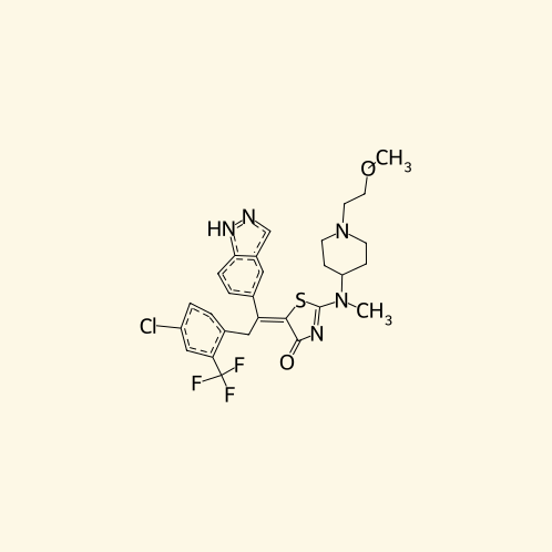 COCCN1CCC(N(C)C2=NC(=O)C(=C(Cc3ccc(Cl)cc3C(F)(F)F)c3ccc4[nH]ncc4c3)S2)CC1